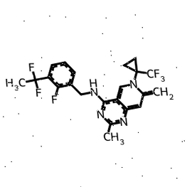 C=C1C=c2nc(C)nc(NCc3cccc(C(C)(F)F)c3F)c2=CN1C1(C(F)(F)F)CC1